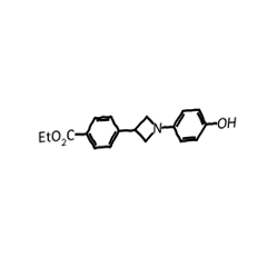 CCOC(=O)c1ccc(C2CN(c3ccc(O)cc3)C2)cc1